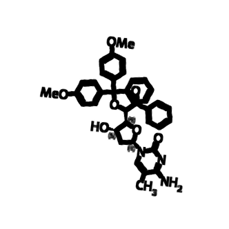 COc1ccc(C(OC(C(=O)c2ccccc2)[C@H]2O[C@@H](n3cc(C)c(N)nc3=O)C[C@@H]2O)(c2ccccc2)c2ccc(OC)cc2)cc1